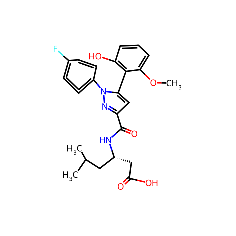 COc1cccc(O)c1-c1cc(C(=O)N[C@H](CC(=O)O)CC(C)C)nn1C1=C=C=C(F)C=C1